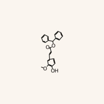 COc1cc(C=CC(=O)OC(c2ccccc2)c2ccccc2)ccc1O